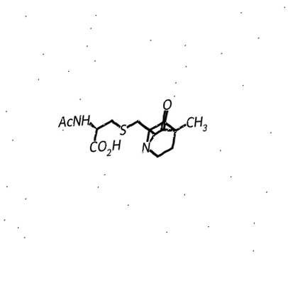 CC(=O)N[C@@H](CSCC1C(=O)C2(C)CCN1CC2)C(=O)O